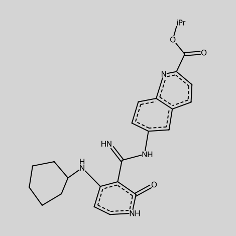 CC(C)OC(=O)c1ccc2cc(NC(=N)c3c(NC4CCCCC4)cc[nH]c3=O)ccc2n1